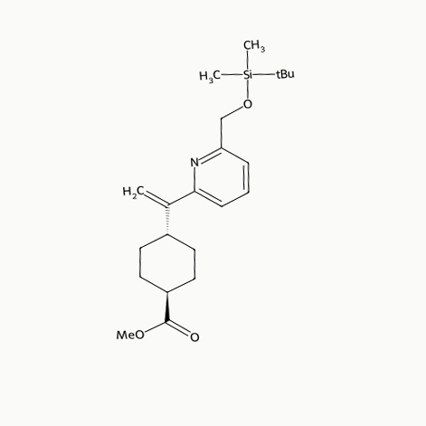 C=C(c1cccc(CO[Si](C)(C)C(C)(C)C)n1)[C@H]1CC[C@H](C(=O)OC)CC1